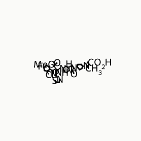 COC(=O)C1=C(CN2CCN3C(=O)N(c4ccc(N(C)CC(=O)O)cc4)C[C@@H]3C2)NC(c2nccs2)=NC1c1ccc(F)cc1Cl